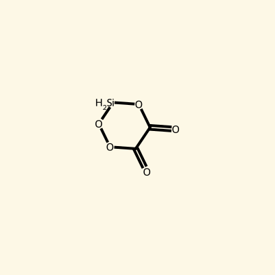 O=C1OO[SiH2]OC1=O